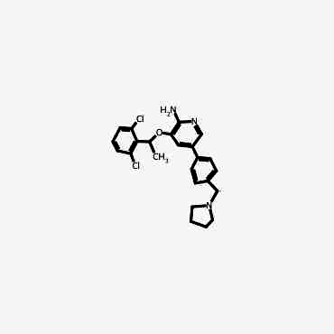 CC(Oc1cc(-c2ccc([CH]N3CCCC3)cc2)cnc1N)c1c(Cl)cccc1Cl